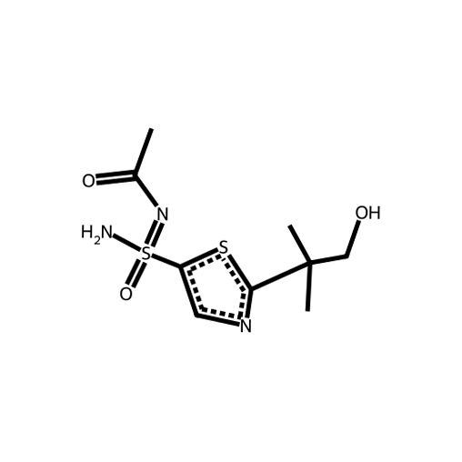 CC(=O)N=S(N)(=O)c1cnc(C(C)(C)CO)s1